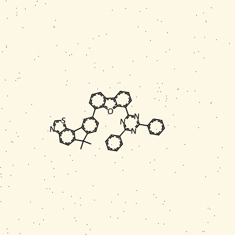 CC1(C)c2ccc(-c3cccc4c3oc3c(-c5nc(-c6ccccc6)nc(-c6ccccc6)n5)cccc34)cc2-c2c1ccc1ncsc21